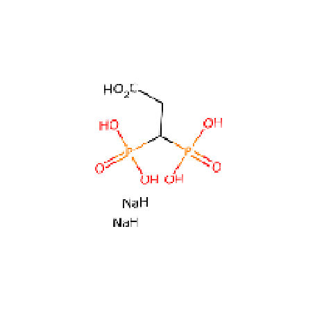 O=C(O)CC(P(=O)(O)O)P(=O)(O)O.[NaH].[NaH]